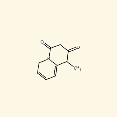 CC1C(=O)CC(=O)N2CC=CC=C12